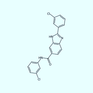 O=C(Nc1cccc(Cl)c1)c1ccc2nc(-c3cccc(Cl)c3)[nH]c2c1